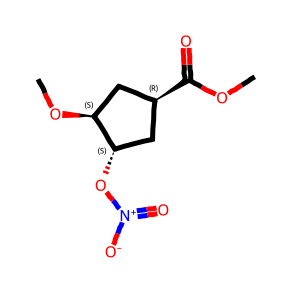 COC(=O)[C@@H]1C[C@H](OC)[C@@H](O[N+](=O)[O-])C1